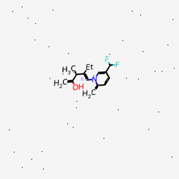 C=C(O)C(C)/C(=C/N1C=C(C(F)F)C=CC1=C)CC